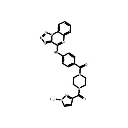 Cn1ccc(C(=O)N2CCN(C(=O)c3ccc(Nc4nc5ccccc5n5nnnc45)cc3)CC2)n1